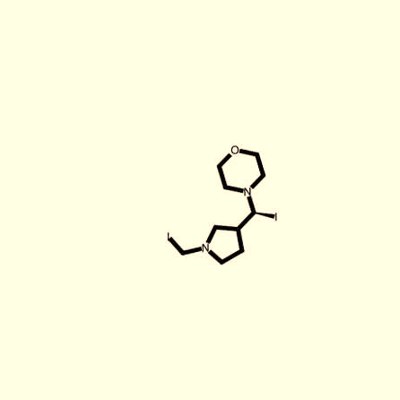 ICN1CCC([C@H](I)N2CCOCC2)C1